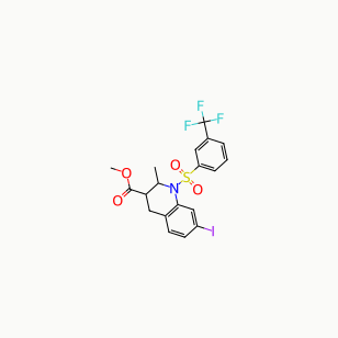 COC(=O)C1Cc2ccc(I)cc2N(S(=O)(=O)c2cccc(C(F)(F)F)c2)C1C